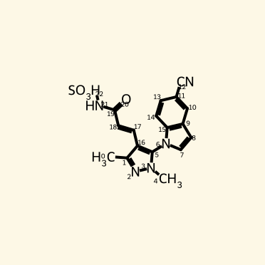 Cc1nn(C)c(-n2ccc3cc(C#N)ccc32)c1C=CC(=O)NS(=O)(=O)O